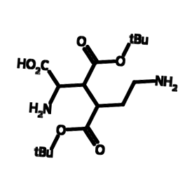 CC(C)(C)OC(=O)C(CCN)C(C(=O)OC(C)(C)C)C(N)C(=O)O